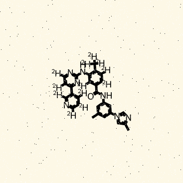 [2H]c1nc(Nc2c([2H])c(C(=O)Nc3cc(C)cc(-n4cnc(C)c4)c3)c([2H])c([2H])c2C([2H])([2H])[2H])nc(-c2c([2H])nc([2H])c([2H])c2[2H])c1[2H]